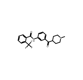 CN1CCC(C(=O)c2cccc(NC(=O)c3ccccc3C(F)(F)F)c2)CC1